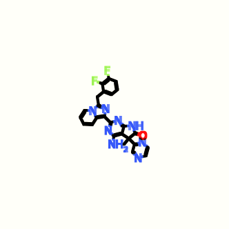 CC1(c2cnccn2)C(=O)Nc2nc(-c3nc(Cc4cccc(F)c4F)n4ccccc34)nc(N)c21